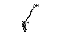 CN1CCN(c2ccc(C(=O)NCCCCCCCCCCCCCCCCO)cn2)CC1